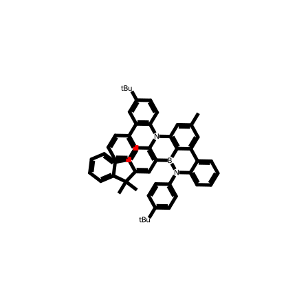 Cc1cc2c3c(c1)N(c1ccc(C(C)(C)C)cc1-c1ccccc1)c1cc4c(cc1B3N(c1ccc(C(C)(C)C)cc1)c1ccccc1-2)C(C)(C)c1ccccc1-4